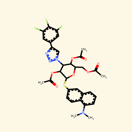 CC(=O)OCC1OC(Sc2ccc3c(N(C)C)cccc3c2)C(OC(C)=O)C(n2cc(-c3cc(F)c(F)c(F)c3)nn2)C1OC(C)=O